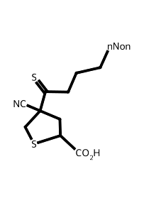 CCCCCCCCCCCCC(=S)C1(C#N)CSC(C(=O)O)C1